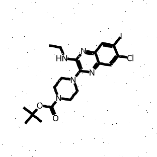 CCNc1nc2cc(I)c(Cl)cc2nc1N1CCN(C(=O)OC(C)(C)C)CC1